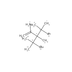 C=C(N)C(C)(C(C)(C)C(C)C)C(C)(C)C(C)(C)C